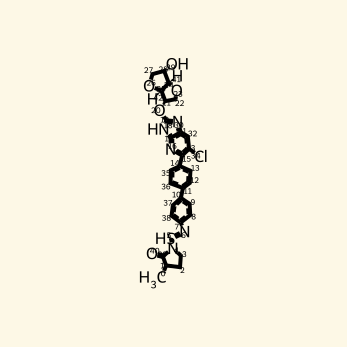 CC1CCN([SH]=Nc2ccc(-c3ccc(-c4nc5[nH]c(O[C@@H]6CO[C@H]7[C@@H]6OC[C@H]7O)nc5cc4Cl)cc3)cc2)C1=O